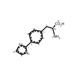 N[C@@H](Cc1ccc(-c2nccs2)cc1)C(=O)O